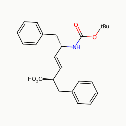 CC(C)(C)OC(=O)N[C@H](/C=C/[C@@H](Cc1ccccc1)C(=O)O)Cc1ccccc1